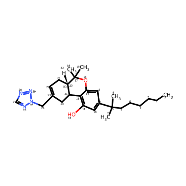 CCCCCCC(C)(C)c1cc(O)c2c(c1)OC(C)(C)[C@H]1CC=C(Cn3ncnn3)CC21